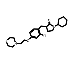 O=C1C(Cc2ccc(OCCN3CCOCC3)cc2Cl)CCN1C1CCCCC1